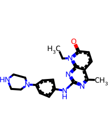 CCn1c(=O)ccc2c(C)nc(Nc3ccc(N4CCNCC4)cc3)nc21